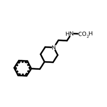 O=C(O)NCCN1CCC(Cc2ccccc2)CC1